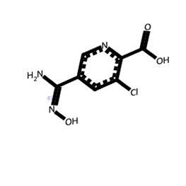 N/C(=N/O)c1cnc(C(=O)O)c(Cl)c1